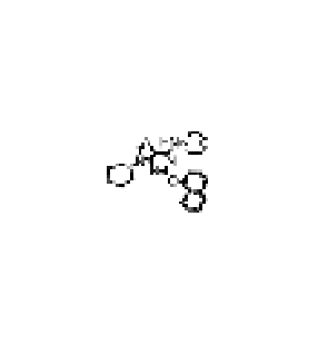 c1ccc2c(Oc3nc(NN4CCOCC4)c4ncn(C5CCCCC5)c4n3)cccc2c1